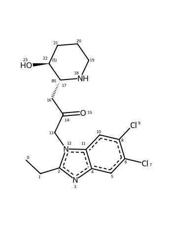 CCc1nc2cc(Cl)c(Cl)cc2n1CC(=O)C[C@H]1NCCC[C@@H]1O